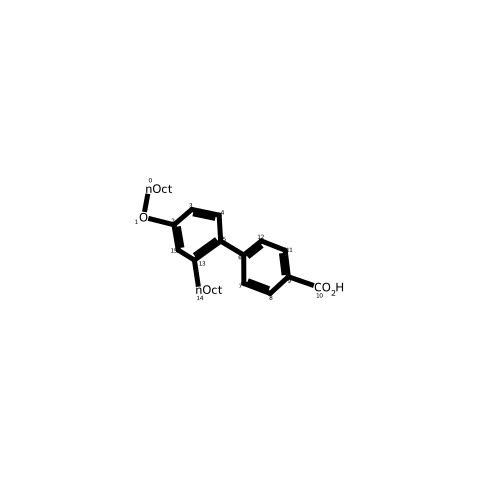 CCCCCCCCOc1ccc(-c2ccc(C(=O)O)cc2)c(CCCCCCCC)c1